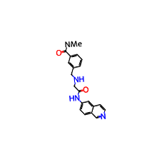 CNC(=O)c1cccc(CNCC(=O)Nc2ccc3cnccc3c2)c1